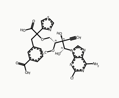 C#C[C@@](O)([C@@H](COC(Cc1cccc(C(=O)O)c1)(C(=O)O)c1cscn1)OC)[C@@H](O)n1cnc2c(N)nc(Cl)nc21